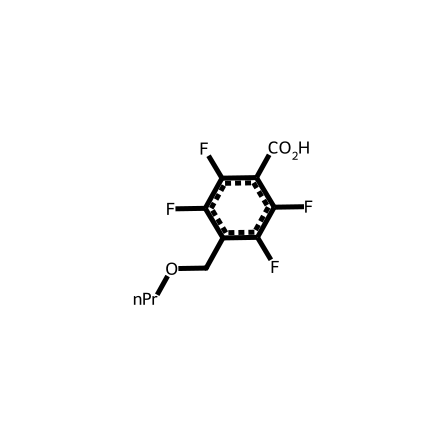 CCCOCc1c(F)c(F)c(C(=O)O)c(F)c1F